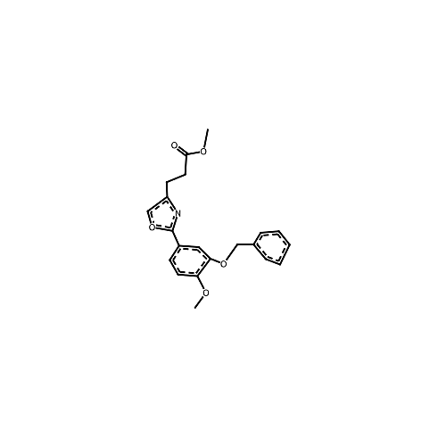 COC(=O)CCc1coc(-c2ccc(OC)c(OCc3ccccc3)c2)n1